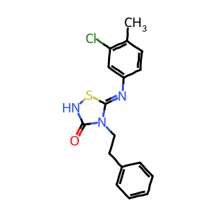 Cc1ccc(/N=c2\s[nH]c(=O)n2CCc2ccccc2)cc1Cl